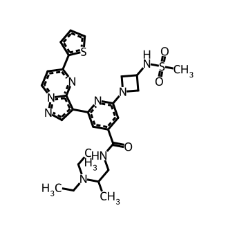 CCN(CC)C(C)CNC(=O)c1cc(-c2cnn3ccc(-c4cccs4)nc23)nc(N2CC(NS(C)(=O)=O)C2)c1